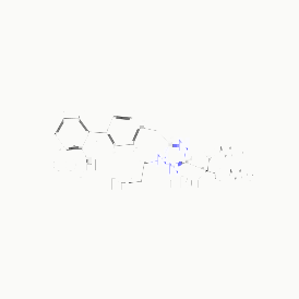 CCCCC(OC)(OC)c1nc(Cc2ccc(-c3ccccc3C(=O)O)cc2)n(CCC(C)C)n1